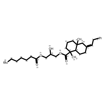 CC(C)C/C=C1/CCC2C(C)(CCCC2(C)C(=O)OCC(O)COC(=O)CCCCCC(C)(C)C)C1